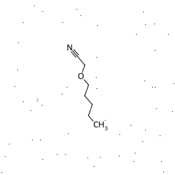 CCCCCOCC#N